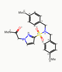 CNC(=O)Cn1ccc(S(=O)(=O)N(Cc2ccc(OC)cc2)Cc2ccc(OC)cc2)n1